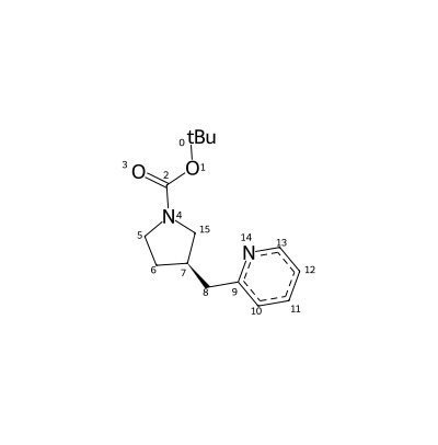 CC(C)(C)OC(=O)N1CC[C@H](Cc2ccccn2)C1